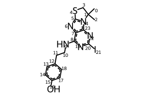 CC1(C)CSc2nc3c(NCCc4ccc(O)cc4)nc(I)nc3n21